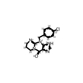 O=C1c2nc[nH]c2N(Cc2ccc(Cl)cc2)C2=NCCCN12